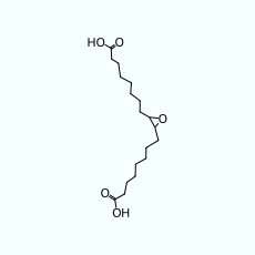 O=C(O)CCCCCCCC1OC1CCCCCCCC(=O)O